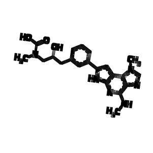 CNc1nc2[nH]c(-c3cccc(CC(O)CN(C)C(=O)O)c3)cc2c2c1ncn2C